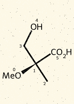 CO[C@@](C)(CO)C(=O)O